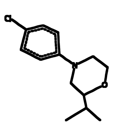 CC(C)C1CN(c2ccc(Cl)cc2)CCO1